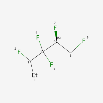 [CH2]CC(F)C(F)(F)[C@@H](F)CF